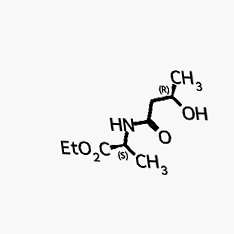 CCOC(=O)[C@H](C)NC(=O)C[C@@H](C)O